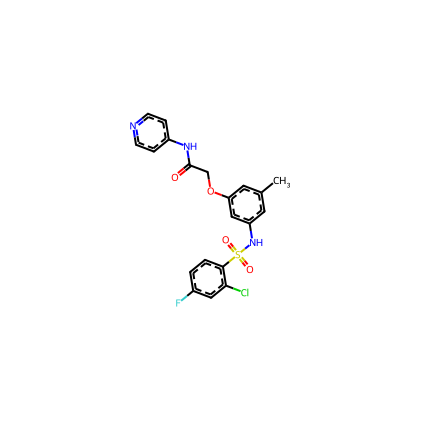 Cc1cc(NS(=O)(=O)c2ccc(F)cc2Cl)cc(OCC(=O)Nc2ccncc2)c1